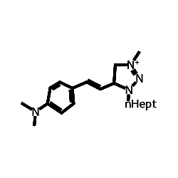 CCCCCCCN1N=[N+](C)CC1C=Cc1ccc(N(C)C)cc1